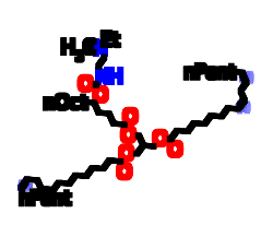 CCCCC/C=C\C/C=C\CCCCCCCC(=O)OCC(COC(=O)CCCCCCC/C=C\C/C=C\CCCCC)COC(=O)CCCC(CCCCCCCC)OC(=O)NCCN(C)CC